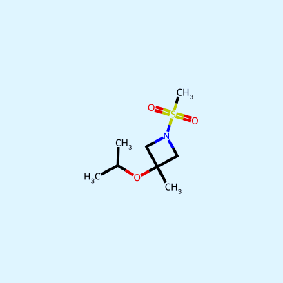 CC(C)OC1(C)CN(S(C)(=O)=O)C1